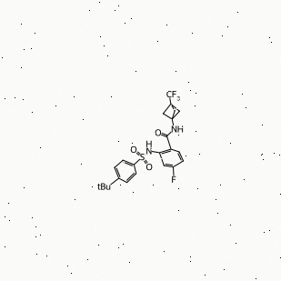 CC(C)(C)c1ccc(S(=O)(=O)Nc2cc(F)ccc2C(=O)NC23CC(C(F)(F)F)(C2)C3)cc1